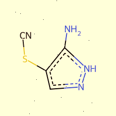 N#CSc1cn[nH]c1N